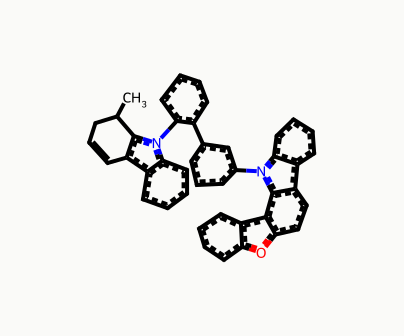 CC1CC=Cc2c1n(-c1ccccc1-c1cccc(-n3c4ccccc4c4ccc5oc6ccccc6c5c43)c1)c1ccccc21